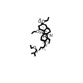 CCO[C@H]1C[C@](OC)(OCC)CC2=CC[C@H]3[C@@H]4CC[C@H]([C@H](C)CC[C@@H](OCC)C(C)C)[C@@]4(C)CC[C@@H]3[C@]21C